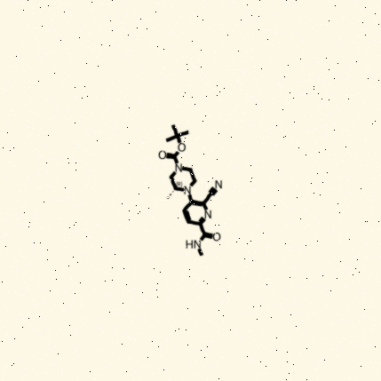 CNC(=O)c1ccc(N2CCN(C(=O)OC(C)(C)C)C[C@H]2C)c(C#N)n1